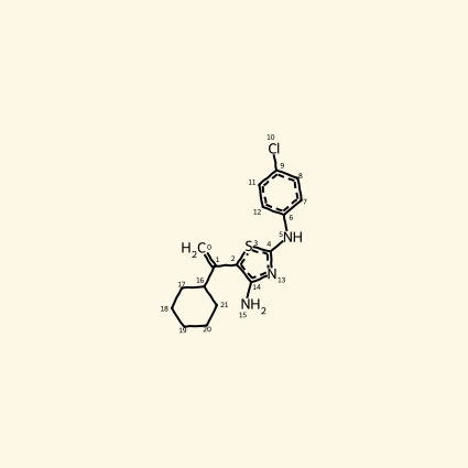 C=C(c1sc(Nc2ccc(Cl)cc2)nc1N)C1CCCCC1